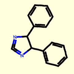 C1=NC(c2ccccc2)C(c2ccccc2)N=1